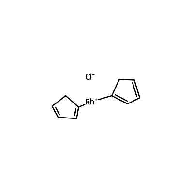 C1=CC[C]([Rh+][C]2=CC=CC2)=C1.[Cl-]